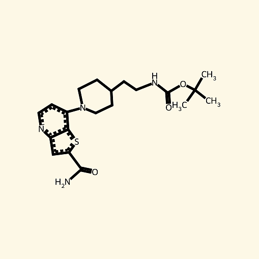 CC(C)(C)OC(=O)NCCC1CCN(c2ccnc3cc(C(N)=O)sc23)CC1